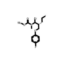 CCC([C@H](CCI)COc1ccc(F)cc1)N(C)C(=O)OC(C)(C)C